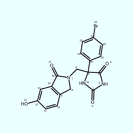 O=C1NC(=O)C(CN2Cc3ccc(O)cc3C2=O)(c2ccc(Br)cc2)N1